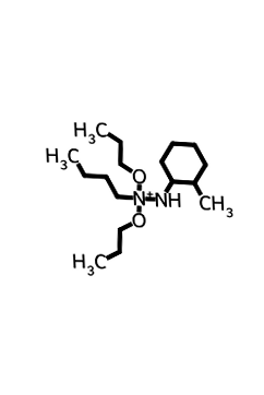 CCCC[N+](NC1CCCCC1C)(OCCC)OCCC